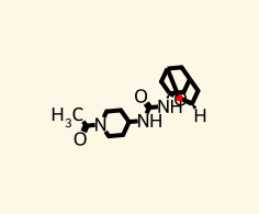 CC(=O)N1CCC(NC(=O)N[C@]23CC4CC(C[C@H](C4)O2)C3)CC1